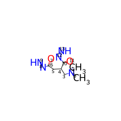 CN(C)CC(CC(=O)N=N)C(=O)N=N